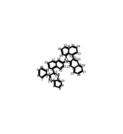 c1ccc(-c2nc3ccccc3nc2-c2cccc3cc(N4c5cc6ccccc6cc5-c5cccc6cccc4c56)ccc23)cc1